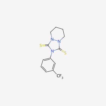 FC(F)(F)c1cccc(-n2c(=S)n3n(c2=S)CCCC3)c1